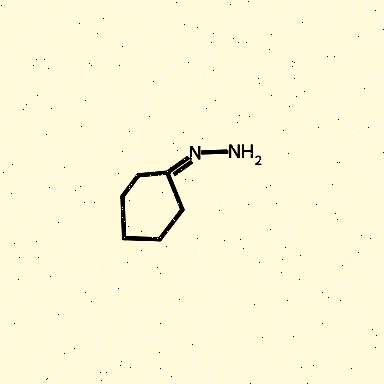 NN=C1CCCCC1